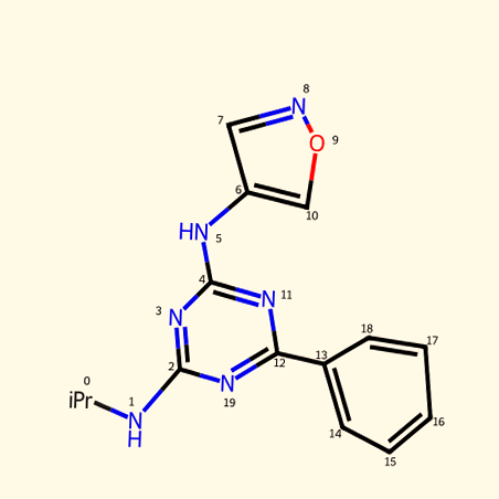 CC(C)Nc1nc(Nc2cnoc2)nc(-c2ccccc2)n1